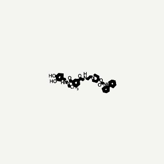 CCN(NCc1ccc(O)c(O)c1)C(=O)c1cccc(C(=O)CNCCN2CCC(OC(=O)Nc3ccccc3-c3ccccc3)CC2)c1